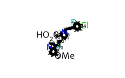 COc1ccc2nccc([C@H](F)CC[C@@H]3CCN(CC#Cc4ccc(Cl)cc4F)C[C@@H]3CC(=O)O)c2c1